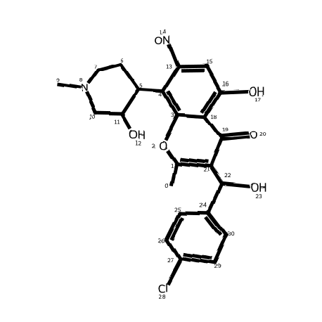 Cc1oc2c(C3CCN(C)CC3O)c(N=O)cc(O)c2c(=O)c1C(O)c1ccc(Cl)cc1